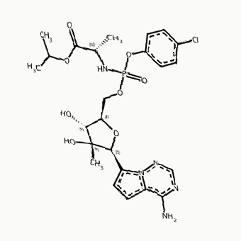 CC(C)OC(=O)[C@H](C)NP(=O)(OC[C@H]1O[C@@H](c2ccc3c(N)ncnn23)[C@](C)(O)[C@@H]1O)Oc1ccc(Cl)cc1